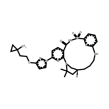 CC1(C)C[C@H]2CCCNc3cccc(n3)S(=O)(=O)NC(=O)c3ccc(-n4ccc(OCCC5(C(F)(F)F)CC5)n4)nc3N1C2